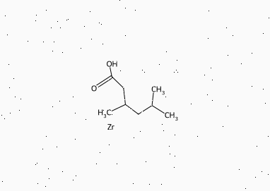 CC(C)CC(C)CC(=O)O.[Zr]